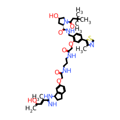 C=C(O)/C=C(\C)C(=N)N[C@@H]1CCc2ccc(OCC(=O)NCCCNC(=O)COc3cc(-c4scnc4C)ccc3CNC(=O)[C@@H]3C[C@@H](O)CN3C(=O)CC(C)(C)C)cc21